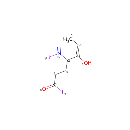 C/C=C(/O)C(CCC(=O)I)NI